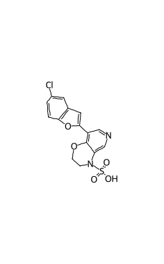 O=S(=O)(O)N1CCOc2c(-c3cc4cc(Cl)ccc4o3)cncc21